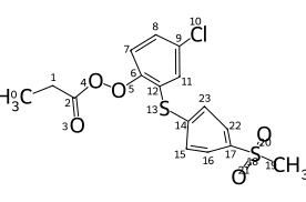 CCC(=O)OOc1ccc(Cl)cc1Sc1ccc(S(C)(=O)=O)cc1